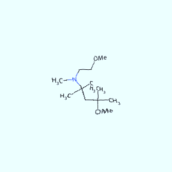 COCCN(C)C(C)(C)CC(C)(C)OC